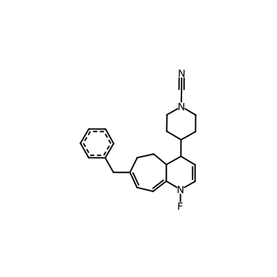 N#CN1CCC(C2C=CN(F)C3=CC=C(Cc4ccccc4)CCC32)CC1